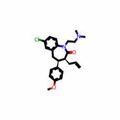 C=CC[C@@H]1C(=O)N(CCN(C)C)c2ccc(Cl)cc2C[C@@H]1c1ccc(OC)cc1